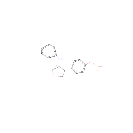 IPOc1ccc([C@@H]2COC[C@@H]2Nc2ccccc2)cc1